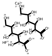 F.O=C([O-])C(O)C(O)C(O)C(O)CO.O=C([O-])C(O)C(O)C(O)C(O)CO.[Ca+2]